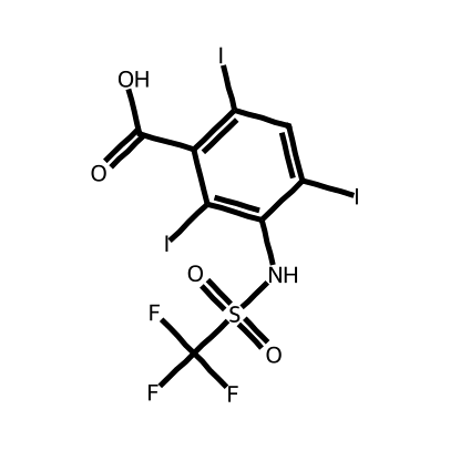 O=C(O)c1c(I)cc(I)c(NS(=O)(=O)C(F)(F)F)c1I